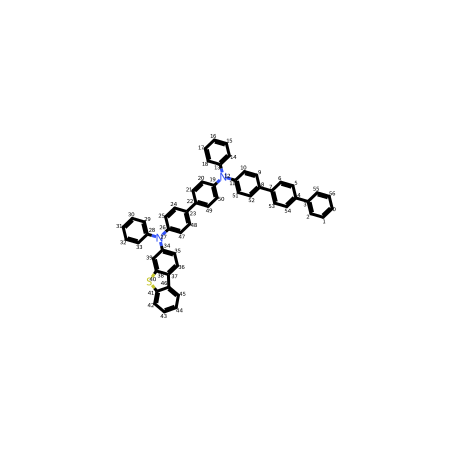 c1ccc(-c2ccc(-c3ccc(N(c4ccccc4)c4ccc(-c5ccc(N(c6ccccc6)c6ccc7c(c6)sc6ccccc67)cc5)cc4)cc3)cc2)cc1